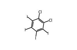 Clc1c(Cl)c(I)c(I)c(I)c1I